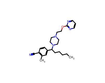 CCCCCC(c1ccc(C#N)c(C)c1)N1CCN(CCOc2ncccn2)CC1